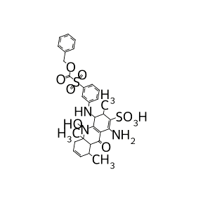 CC1C=CCC2(C)C1C(=O)C1=C(C(Nc3cccc(S(=O)(=O)C(=O)OCc4ccccc4)c3)C(C)C(S(=O)(=O)O)=C1N)N2O